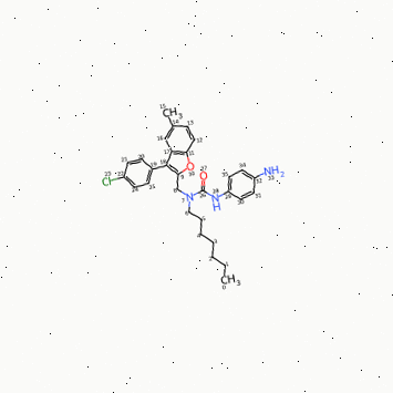 CCCCCCCN(Cc1oc2ccc(C)cc2c1-c1ccc(Cl)cc1)C(=O)Nc1ccc(N)cc1